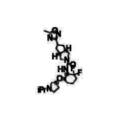 Cc1nc(C2C[C@@H]3CN(C(=O)N[C@@H]4[C@@H](O[C@H]5CCN(C(C)C)C5)CCCC4(F)F)C[C@@H]3C2)no1